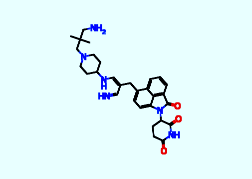 CC(C)(CN)CN1CCC(N/C=C(\C=N)Cc2ccc3c4c(cccc24)C(=O)N3C2CCC(=O)NC2=O)CC1